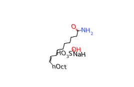 CCCCCCCC/C=C\CCCCCCCC(N)=O.O=S(=O)(O)O.[NaH]